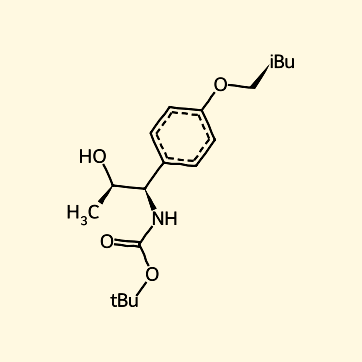 CC[C@H](C)COc1ccc([C@@H](NC(=O)OC(C)(C)C)[C@@H](C)O)cc1